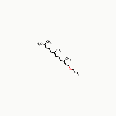 CCOC/C=C(\C)CC/C=C(\C)CCC=C(C)C